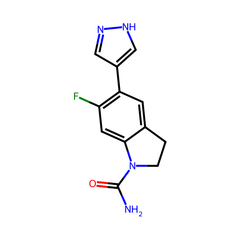 NC(=O)N1CCc2cc(-c3cn[nH]c3)c(F)cc21